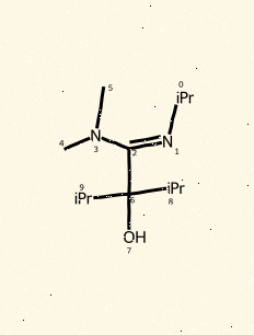 CC(C)N=C(N(C)C)C(O)(C(C)C)C(C)C